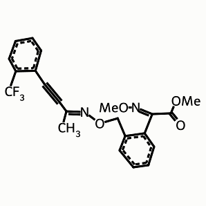 CO/N=C(/C(=O)OC)c1ccccc1CO/N=C(\C)C#Cc1ccccc1C(F)(F)F